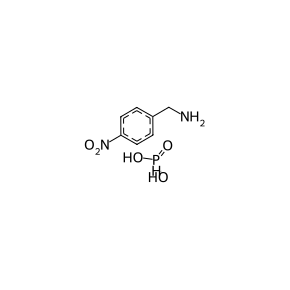 NCc1ccc([N+](=O)[O-])cc1.O=[PH](O)O